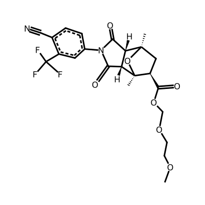 COCCOCOC(=O)[C@@H]1C[C@@]2(C)O[C@]1(C)[C@@H]1C(=O)N(c3ccc(C#N)c(C(F)(F)F)c3)C(=O)[C@@H]12